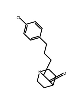 O=C1C2CCN(CC2)C1CCCc1ccc(Cl)cc1